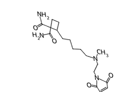 CN(CCCCCC1CCC1(C(N)=O)C(N)=O)CCN1C(=O)C=CC1=O